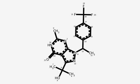 Cc1nc2c(c(C(C)(C)O)nn2C(C)c2ccc(C(F)(F)F)cc2)c(=O)[nH]1